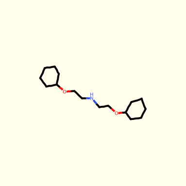 C1CCC(OCCNCCOC2CCCCC2)CC1